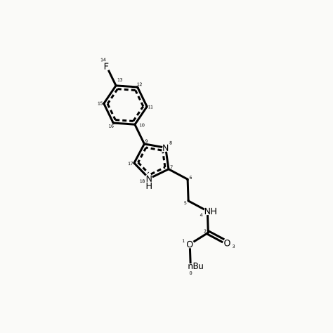 CCCCOC(=O)NCCc1nc(-c2ccc(F)cc2)c[nH]1